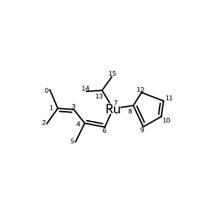 CC(C)=CC(C)=[CH][Ru]([C]1=CC=CC1)[CH](C)C